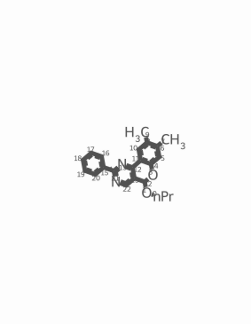 CCCOC1Oc2cc(C)c(C)cc2-c2nc(-c3ccccc3)ncc21